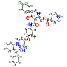 O=C(Nc1ccc(Oc2ccnc(NC(c3ccccc3)c3ccccc3)c2Cl)c(F)c1)C1=C(COC(=O)C2CCNCC2)N=CC(c2ccc(F)cc2)C1=O